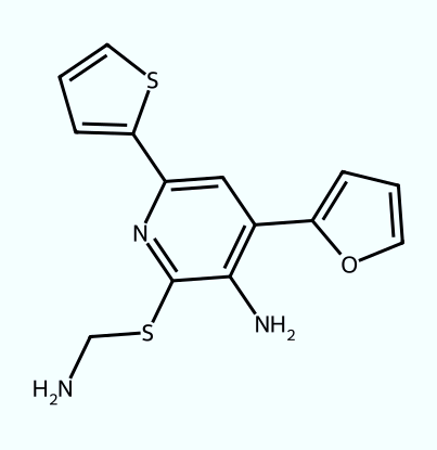 NCSc1nc(-c2cccs2)cc(-c2ccco2)c1N